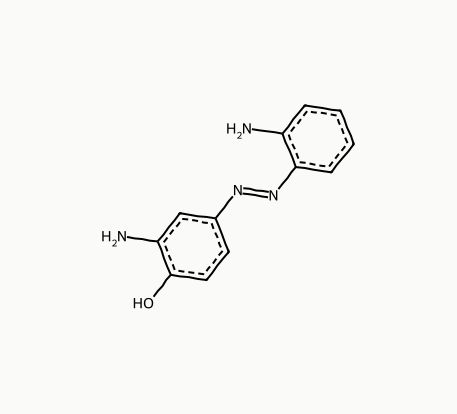 Nc1cc(N=Nc2ccccc2N)ccc1O